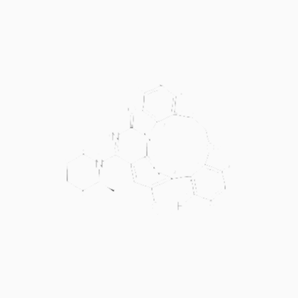 C[C@H]1CCCCN1c1nc(=O)n2c3nc(c(Cl)cc13)-c1c(F)cccc1OCCc1ccccc1-2